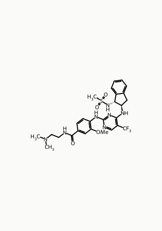 COc1cc(C(=O)NCCN(C)C)ccc1Nc1ncc(C(F)(F)F)c(N[C@@H]2Cc3ccccc3[C@H]2NS(C)(=O)=O)n1